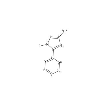 [2H]c1cn(C)c(-c2ccccc2)n1